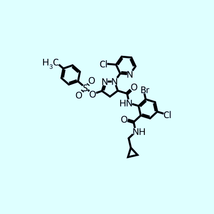 Cc1ccc(S(=O)(=O)OC2=NN(c3ncccc3Cl)C(C(=O)Nc3c(Br)cc(Cl)cc3C(=O)NCC3CC3)C2)cc1